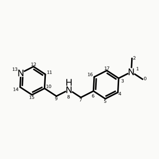 CN(C)c1ccc(CNCc2ccncc2)cc1